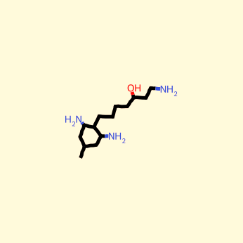 CC1CC(N)C(CCCCC(O)CCN)C(N)C1